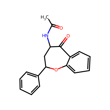 CC(=O)NC1CC(c2ccccc2)Oc2ccccc2C1=O